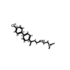 CC(CCNCCN(C)C)c1ccc(-c2ccc(Cl)cc2)cc1